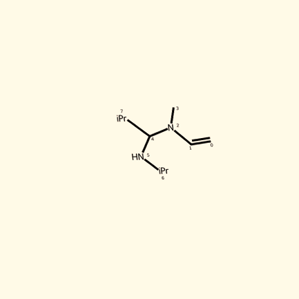 C=CN(C)C(NC(C)C)C(C)C